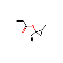 C=CC(=O)OC1(C=C)CC1C